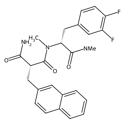 CNC(=O)[C@@H](Cc1ccc(F)c(F)c1)N(C)C(=O)[C@H](Cc1ccc2ccccc2c1)C(N)=O